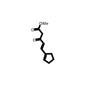 COC(=O)CC(=O)C=CC1=CCCC1